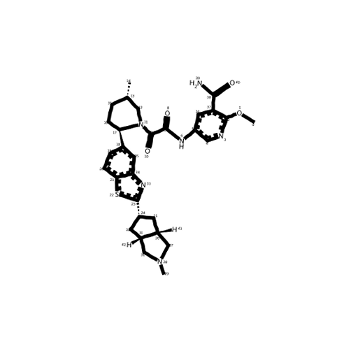 COc1ncc(NC(=O)C(=O)N2C[C@@H](C)CC[C@@H]2c2ccc3sc([C@@H]4C[C@@H]5CN(C)C[C@@H]5C4)nc3c2)cc1C(N)=O